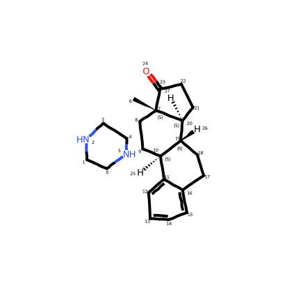 C1CNCCN1.C[C@]12CC[C@@H]3c4ccccc4CC[C@H]3[C@@H]1CCC2=O